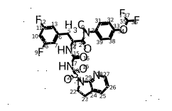 CN(C(=O)C(Cc1cc(F)cc(F)c1)NC(=O)NS(=O)(=O)N1CCc2cccnc21)c1ccc(OC(F)F)cc1